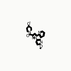 COc1ccc(-n2nc(C(=O)N3CCC(OC)CC3)cc2-c2ccccn2)cn1